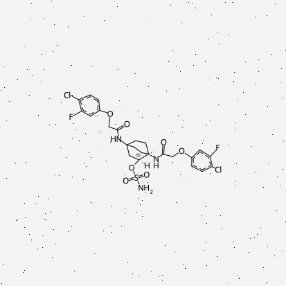 NS(=O)(=O)O[C@H]1CC2(NC(=O)COc3ccc(Cl)c(F)c3)CCC1(NC(=O)COc1ccc(Cl)c(F)c1)CC2